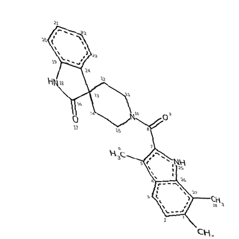 Cc1ccc2c(C)c(C(=O)N3CCC4(CC3)C(=O)Nc3ccccc34)[nH]c2c1C